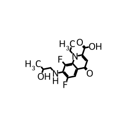 CCn1c(C(=O)O)cc(=O)c2cc(F)c(NCC(C)O)c(F)c21